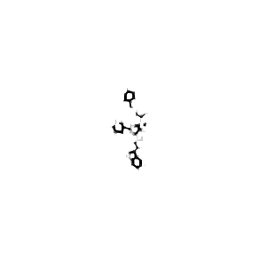 CC(COCc1ccccc1)n1cnc2c(NCCc3c[nH]c4ccccc34)nc(-c3cncc(F)c3)nc21